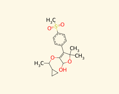 CC(OC1=C(c2ccc(S(C)(=O)=O)cc2)C(C)(C)OC1O)C1CC1